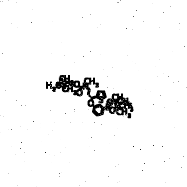 CN(CC[C@@H](Oc1cccc(B2OC(C)(C)C(C)(C)O2)c1)c1cccs1)C(=O)OCC[Si](C)(C)C